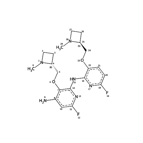 CN1CC[C@@H]1COc1c(N)cc(F)nc1Nc1nc(F)ccc1OC[C@@H]1CCN1C